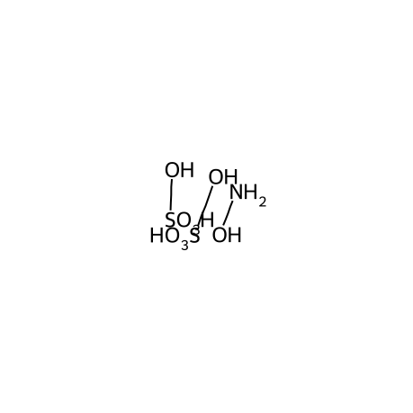 NO.O=S(=O)(O)O.O=S(=O)(O)O